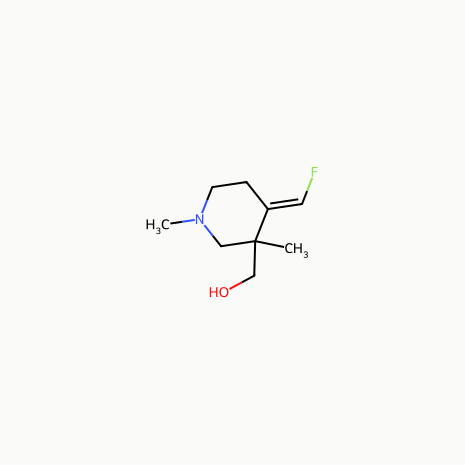 CN1CC/C(=C\F)C(C)(CO)C1